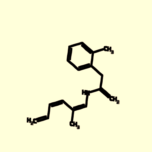 C=C/C=C\C(C)=C/NC(=C)Cc1ccccc1C